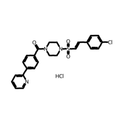 Cl.O=C(c1ccc(-c2ccccn2)cc1)N1CCN(S(=O)(=O)C=Cc2ccc(Cl)cc2)CC1